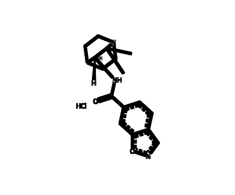 CC1(C)[C@H](NC(=O)c2ccc3cnoc3c2)C2CCN1CC2.Cl